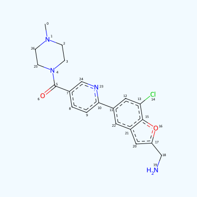 CN1CCN(C(=O)c2ccc(-c3cc(Cl)c4oc(CN)cc4c3)nc2)CC1